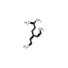 C=C/C=C(\C=C/C)CCC(=C)C